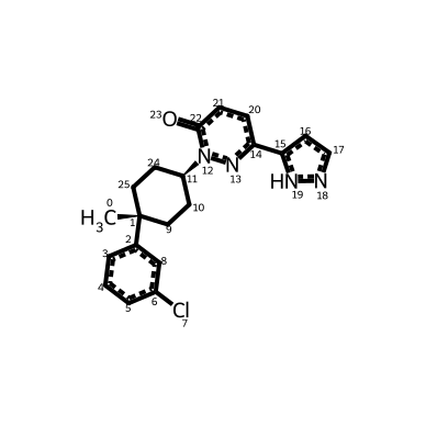 C[C@]1(c2cccc(Cl)c2)CC[C@H](n2nc(-c3ccn[nH]3)ccc2=O)CC1